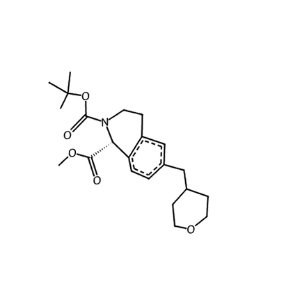 COC(=O)[C@H]1c2ccc(CC3CCOCC3)cc2CCN1C(=O)OC(C)(C)C